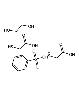 O=C(O)CS.O=C(O)CS.O=S(=O)(O)c1ccccc1.OCCO